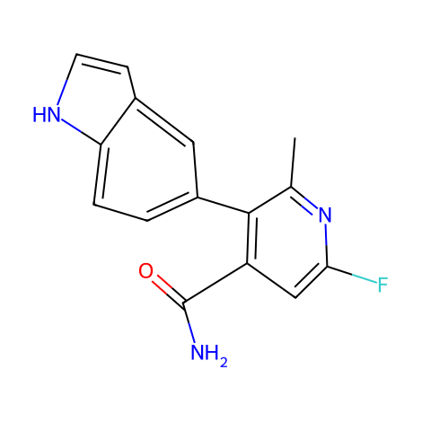 Cc1nc(F)cc(C(N)=O)c1-c1ccc2[nH]ccc2c1